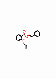 C=CCOc1ccccc1C(=O)OC=Cc1ccccc1